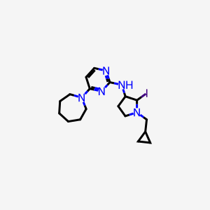 IC1C(Nc2nccc(N3CCCCCC3)n2)CCN1CC1CC1